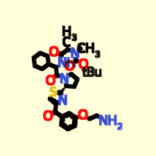 C[C@@H](C(=O)N[C@H](C(=O)N1CCC[C@@H]1c1nc(C(=O)c2cccc(OCCN)c2)cs1)C1CCCCC1)N(C)C(=O)OC(C)(C)C